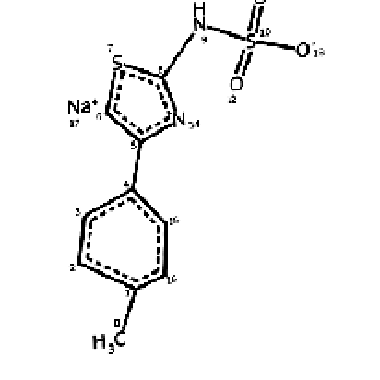 Cc1ccc(-c2csc(NS(=O)(=O)[O-])n2)cc1.[Na+]